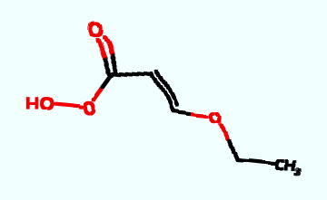 CCOC=CC(=O)OO